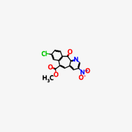 COC(=O)c1cc2cc([N+](=O)[O-])cnc2c(=O)c2ccc(Cl)cc12